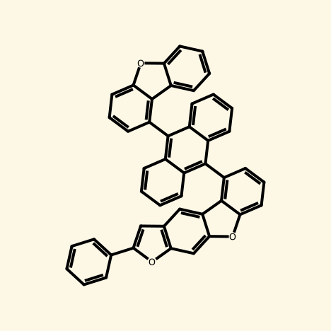 c1ccc(-c2cc3cc4c(cc3o2)oc2cccc(-c3c5ccccc5c(-c5cccc6oc7ccccc7c56)c5ccccc35)c24)cc1